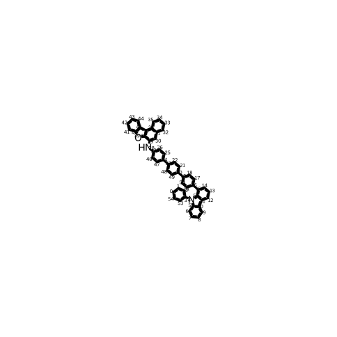 c1ccc(-n2c3ccccc3c3cccc(-c4ccc(-c5ccc(-c6ccc(Nc7cc8ccccc8c8c7oc7ccccc78)cc6)cc5)cc4)c32)cc1